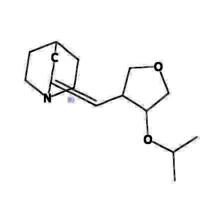 CC(C)OC1COCC1/C=C1\CC2CCN1CC2